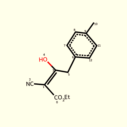 CCOC(=O)/C(C#N)=C(/O)Cc1ccc(C)cc1